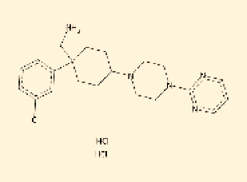 Cl.Cl.NCC1(c2cccc(Cl)c2)CCC(N2CCN(c3ncccn3)CC2)CC1